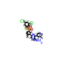 Cc1cc(-c2nc(-c3cc(S(=O)(=O)Oc4c(Cl)cc(Cl)cc4Cl)ccc3C)cnc2N)ccn1